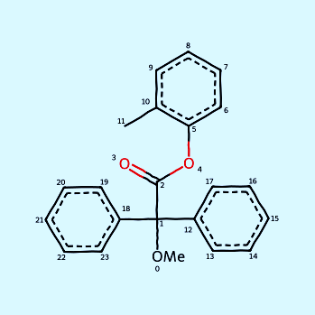 COC(C(=O)Oc1ccccc1C)(c1ccccc1)c1ccccc1